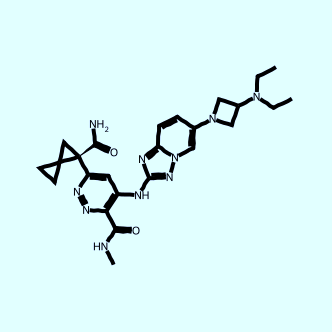 CCN(CC)C1CN(c2ccc3nc(Nc4cc([C@@]5(C(N)=O)CC56CC6)nnc4C(=O)NC)nn3c2)C1